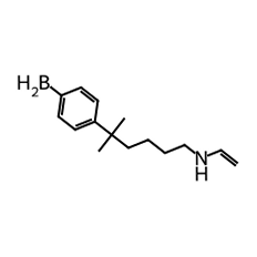 Bc1ccc(C(C)(C)CCCCNC=C)cc1